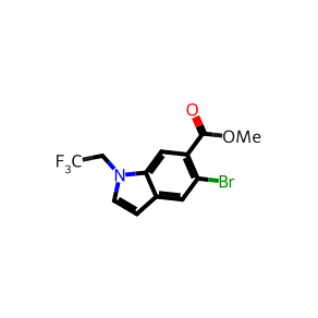 COC(=O)c1cc2c(ccn2CC(F)(F)F)cc1Br